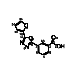 O=C(O)c1cccc(-c2nnc(-c3ccco3)o2)c1